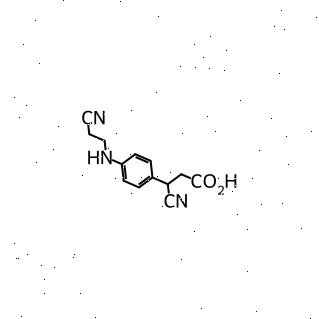 N#CCCNc1ccc(C(C#N)CC(=O)O)cc1